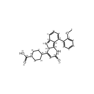 COc1ccccc1-c1cccc2nn3c(C4CCN(C(=O)O)CC4)cc(=O)[nH]c3c12